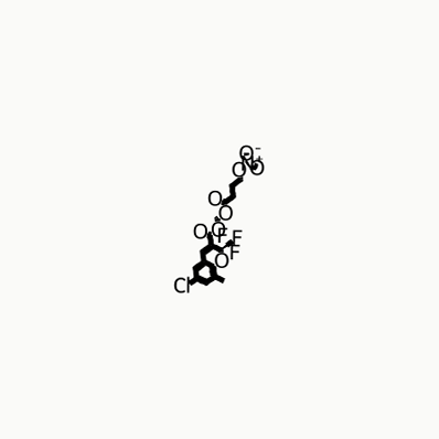 Cc1cc(Cl)cc2c1O[C@H](C(F)(F)F)C(C(=O)OCOC(=O)CCCO[N+](=O)[O-])=C2